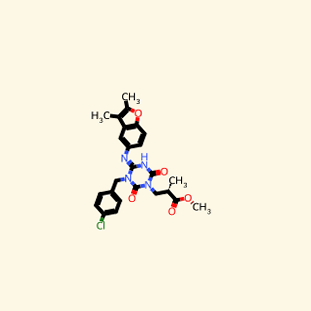 COC(=O)[C@@H](C)Cn1c(=O)[nH]/c(=N\c2ccc3oc(C)c(C)c3c2)n(Cc2ccc(Cl)cc2)c1=O